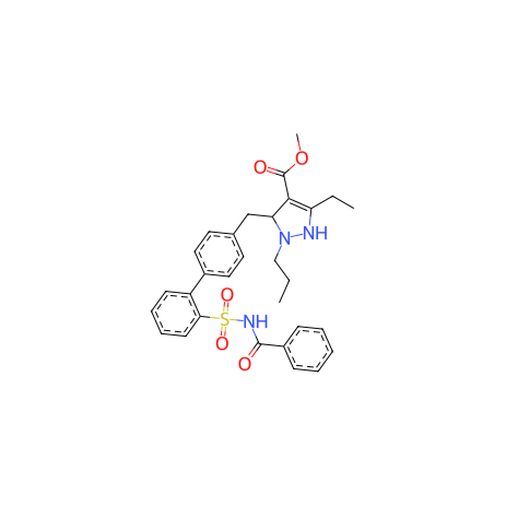 CCCN1NC(CC)=C(C(=O)OC)C1Cc1ccc(-c2ccccc2S(=O)(=O)NC(=O)c2ccccc2)cc1